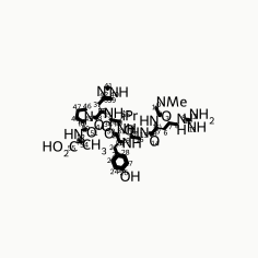 CNCC(=O)N[C@@H](CCCNC(=N)N)C(=O)NCC(=O)N[C@@H](Cc1ccc(O)cc1)C(=O)N[C@H](C(=O)N[C@@H](Cc1c[nH]cn1)C(=O)N1CCC[C@H]1C(=O)N[C@H](C)C(=O)O)C(C)C